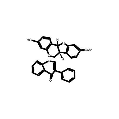 COc1ccc2c(c1)O[C@H]1c3ccc(O)cc3OC[C@@H]21.O=c1c(-c2ccccc2)coc2ccccc12